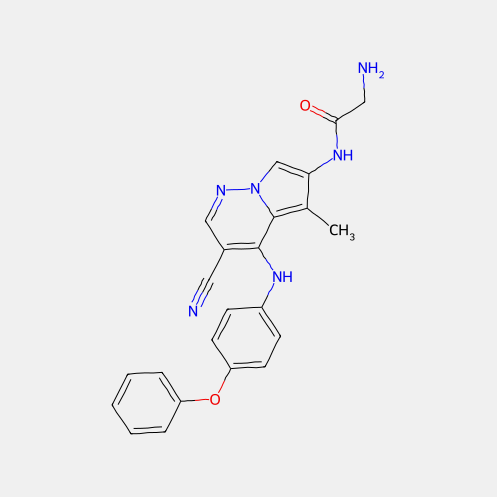 Cc1c(NC(=O)CN)cn2ncc(C#N)c(Nc3ccc(Oc4ccccc4)cc3)c12